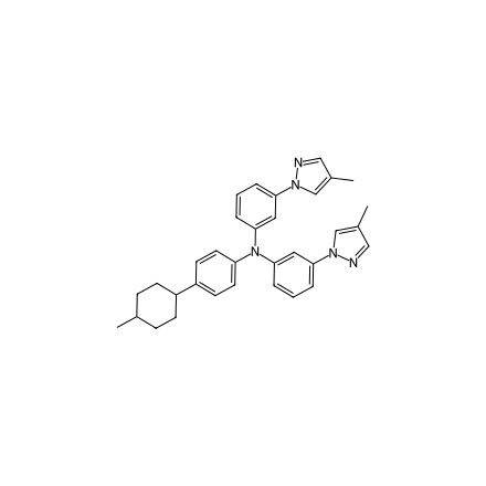 Cc1cnn(-c2cccc(N(c3ccc(C4CCC(C)CC4)cc3)c3cccc(-n4cc(C)cn4)c3)c2)c1